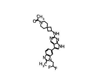 CC(=O)N1CCC2(CC1)CC(Nc1ncc3c(-c4ccc5nc(C)n(CC(F)F)c5c4)c[nH]c3n1)C2